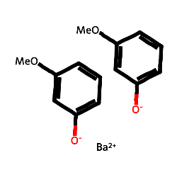 COc1cccc([O-])c1.COc1cccc([O-])c1.[Ba+2]